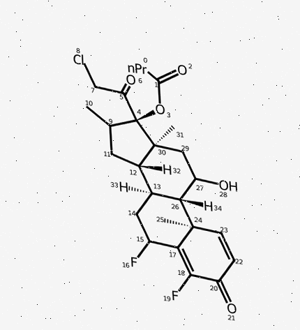 CCCC(=O)O[C@]1(C(=O)CCl)C(C)C[C@H]2[C@@H]3CC(F)C4=C(F)C(=O)C=C[C@]4(C)[C@H]3C(O)C[C@@]21C